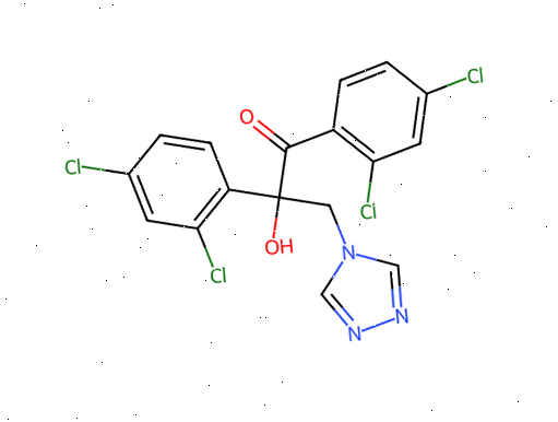 O=C(c1ccc(Cl)cc1Cl)C(O)(Cn1cnnc1)c1ccc(Cl)cc1Cl